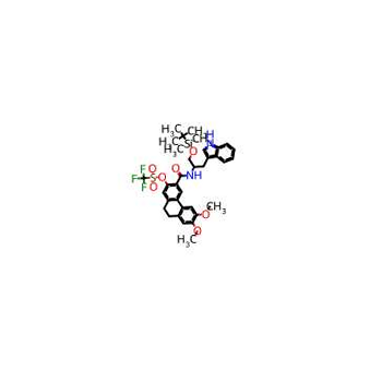 COc1cc2c(cc1OC)-c1cc(C(=O)NC(CO[Si](C)(C)C(C)(C)C)Cc3c[nH]c4ccccc34)c(OS(=O)(=O)C(F)(F)F)cc1CC2